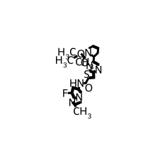 Cc1cn2cc(NC(=O)c3cc4ncc(C5CC=CCN5C(=O)OC(C)(C)C)nc4s3)cc(F)c2n1